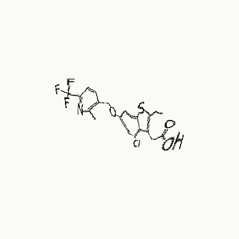 Cc1nc(C(F)(F)F)ccc1COc1cc(Cl)c2c(CC(=O)O)c(C)sc2c1